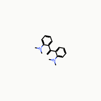 C=C(c1ccccc1N(C)C)c1ccccc1N(C)C